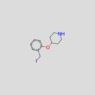 ICc1ccccc1OC1CCNCC1